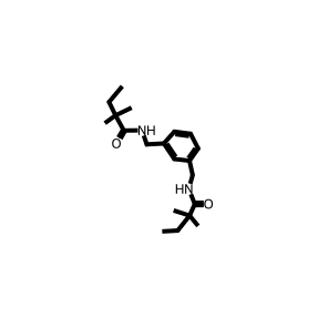 CCC(C)(C)C(=O)NCc1cccc(CNC(=O)C(C)(C)CC)c1